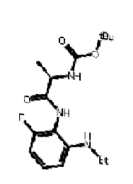 CCNc1cccc(F)c1NC(=O)[C@@H](C)NC(=O)OC(C)(C)C